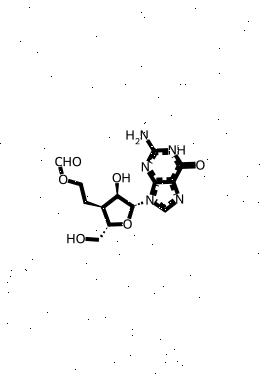 Nc1nc2c(ncn2[C@@H]2O[C@H](CO)[C@@H](CCOC=O)[C@H]2O)c(=O)[nH]1